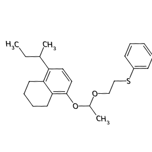 CCC(C)c1ccc(OC(C)OCCSc2ccccc2)c2c1CCCC2